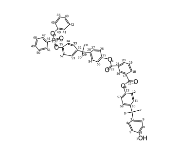 CC(C)(c1ccc(O)cc1)c1ccc(OC(=O)c2cccc(C(=O)Oc3ccc(C(C)(C)c4ccc(OP(=O)(Oc5ccccc5)c5ccccc5)cc4)cc3)c2)cc1